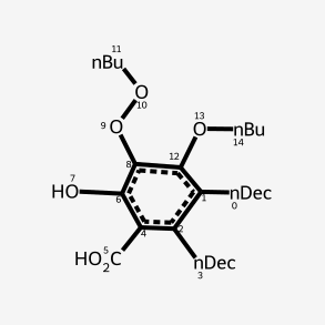 CCCCCCCCCCc1c(CCCCCCCCCC)c(C(=O)O)c(O)c(OOCCCC)c1OCCCC